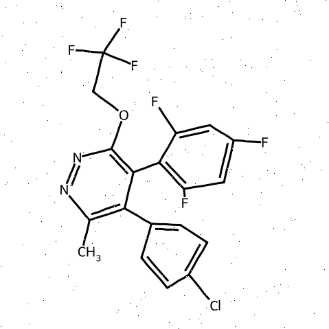 Cc1nnc(OCC(F)(F)F)c(-c2c(F)cc(F)cc2F)c1-c1ccc(Cl)cc1